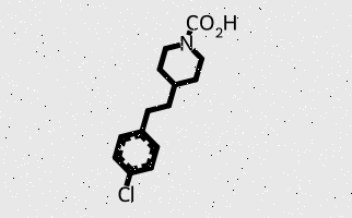 O=C(O)N1CCC(CCc2ccc(Cl)cc2)CC1